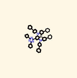 c1ccc(-c2ccc(N3c4ccc(C5CCCCC5)cc4B4c5cc(C6CCCCC6)ccc5N(c5ccc(-c6ccccc6)cc5)c5cc(-c6nc(-c7ccccc7)nc(-c7ccccc7)n6)cc3c54)cc2)cc1